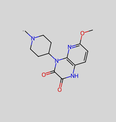 [CH2]N1CCC(n2c(=O)c(=O)[nH]c3ccc(OC)nc32)CC1